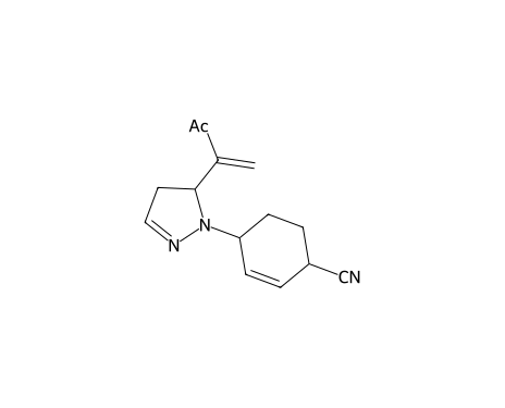 C=C(C(C)=O)C1CC=NN1C1C=CC(C#N)CC1